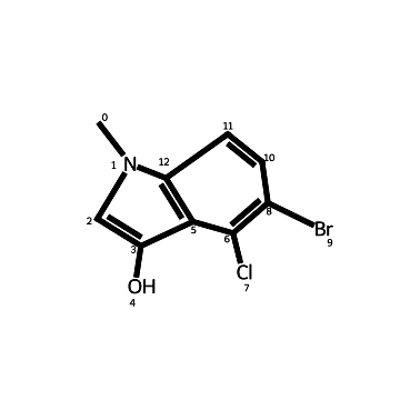 Cn1cc(O)c2c(Cl)c(Br)ccc21